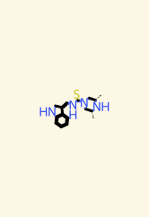 C[C@@H]1CN(C(=S)N/C=C2/CNc3ccccc32)C[C@H](C)N1